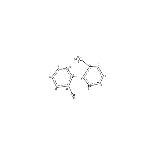 Cc1cccnc1-c1ncccc1Br